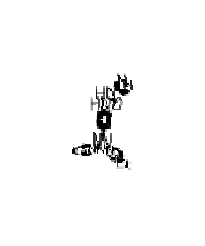 CCN1CCCN(c2nc(-c3ccc(NC(=O)Nc4ccnnc4)cc3)nc(N3CCOCC3)n2)CC1